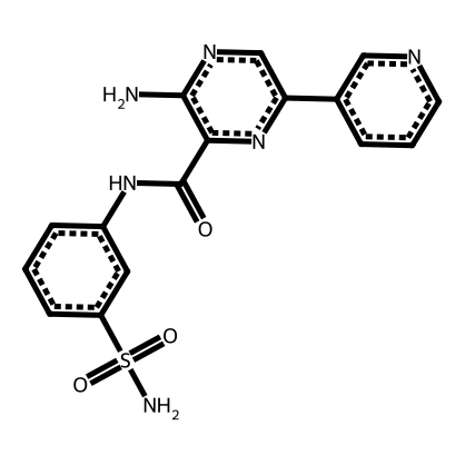 Nc1ncc(-c2cccnc2)nc1C(=O)Nc1cccc(S(N)(=O)=O)c1